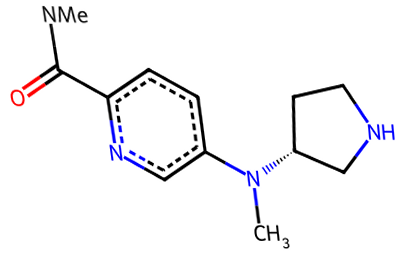 CNC(=O)c1ccc(N(C)[C@@H]2CCNC2)cn1